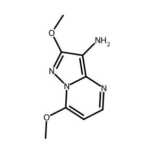 COc1nn2c(OC)ccnc2c1N